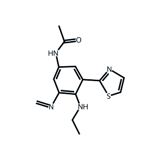 C=Nc1cc(NC(C)=O)cc(-c2nccs2)c1NCC